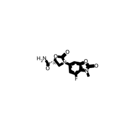 Cn1c(=O)oc2cc(N3C[C@H](C(N)=O)OC3=O)cc(F)c21